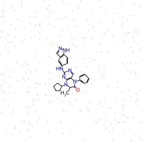 CC1C(=O)N(c2ccccc2)c2cnc(Nc3ccc4[nH]ncc4c3)nc2N1C1CCCC1